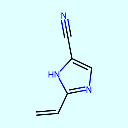 C=Cc1ncc(C#N)[nH]1